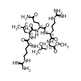 COC(=O)[C@H](CC(C)C)NC(=O)[C@H](CCCNC(=N)N)NC(=O)[C@H](CCC(N)=O)NC(=O)[C@H](CC(C)C)NC(=O)[C@@H](N)CCCNC(=N)N